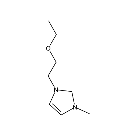 CCOCCN1C=CN(C)C1